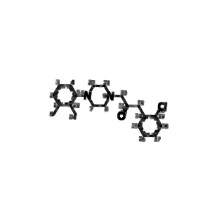 Cc1cccc(N2CCN(CC(=O)Cc3ccccc3Cl)CC2)c1C